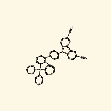 N#Cc1ccc2c(c1)c1cc(C#N)ccc1n2-c1ccc(-c2cccc([Si](c3ccccc3)(c3ccccc3)c3ccccc3)c2C#N)cc1